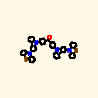 O=C(c1ccc(-n2c3ccccc3c3cc(N4c5ccccc5Sc5ccccc54)ccc32)cc1)c1ccc(-n2c3ccccc3c3cc(N4c5ccccc5Sc5ccccc54)ccc32)cc1